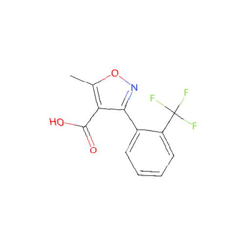 Cc1onc(-c2ccccc2C(F)(F)F)c1C(=O)O